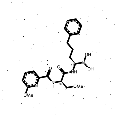 COC[C@@H](NC(=O)c1cccc(OC)n1)C(=O)N[C@@H](CCCc1ccccc1)B(O)O